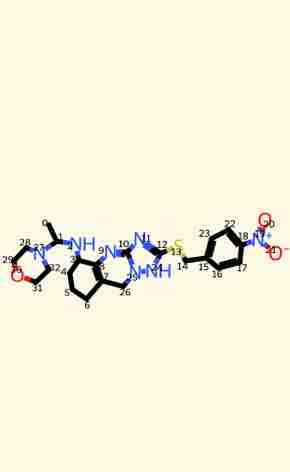 CC(NC1CCCC2=C1N=C1N=C(SCc3ccc([N+](=O)[O-])cc3)NN1C2)N1CCOCC1